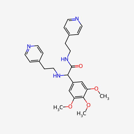 COc1cc(C(NCCc2ccncc2)C(=O)NCCc2ccncc2)cc(OC)c1OC